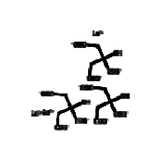 O=C([O-])CC(O)(CC(=O)[O-])C(=O)[O-].O=C([O-])CC(O)(CC(=O)[O-])C(=O)[O-].O=C([O-])CC(O)(CC(=O)[O-])C(=O)[O-].[La+3].[La+3].[La+3]